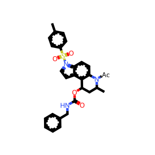 CC(=O)N1c2ccc3c(ccn3S(=O)(=O)c3ccc(C)cc3)c2C(OC(=O)NCc2ccccc2)CC1C